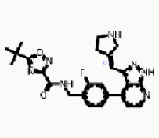 CC(C)(C)c1nc(C(=O)NCc2ccc(-c3ccnc4[nH]nc(/C=C5/CCNC5)c34)cc2F)no1